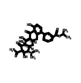 CC(C)OC(=O)c1cccc(-c2ccc(O)c3c2C[C@H]2C[C@H]4[C@@H](N(C)C)C(O)=C(C(N)=O)C(=O)[C@@]4(O)C(O)=C2C3=O)c1